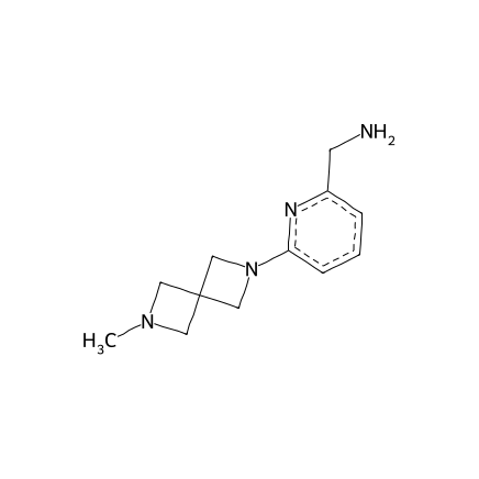 CN1CC2(C1)CN(c1cccc(CN)n1)C2